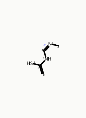 C=C(S)N/C=N\C